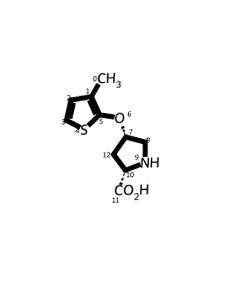 Cc1ccsc1O[C@@H]1CN[C@H](C(=O)O)C1